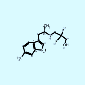 Cc1ccc2c(C[C@@H](C)NCC(F)(F)CO)c[nH]c2c1